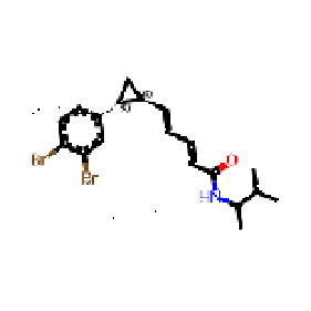 CC(C)C(C)NC(=O)C=CC=C[C@@H]1C[C@H]1c1ccc(Br)c(Br)c1